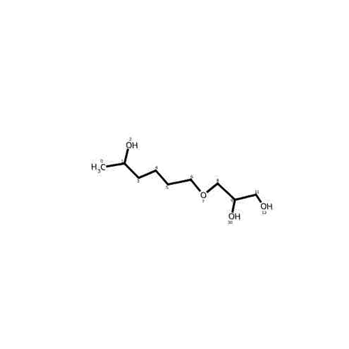 CC(O)CCCCOCC(O)CO